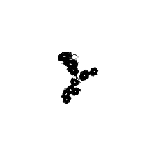 c1ccc(-c2ccc(N(c3ccc(-c4cc5ccc6ccccc6c5c5ccccc45)cc3)c3ccc4cc5c(cc4c3)oc3ccccc35)cc2)cc1